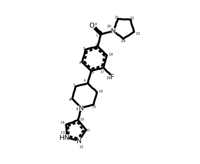 O=C(c1ccc(C2CCN(c3cn[nH]c3)CC2)c(F)c1)N1CCCC1